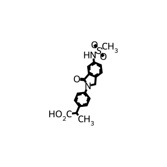 CC(C(=O)O)c1ccc(N2Cc3ccc(NS(C)(=O)=O)cc3C2=O)cc1